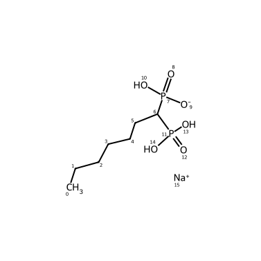 CCCCCCC(P(=O)([O-])O)P(=O)(O)O.[Na+]